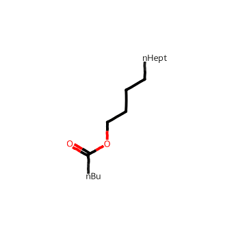 CCCCCCCCCCCOC(=O)CCCC